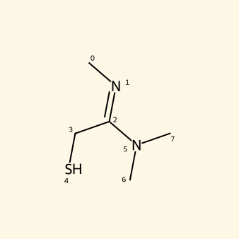 C/N=C(\CS)N(C)C